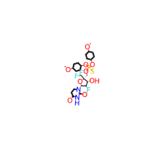 COc1ccc(OP(=S)(OC[C@@]2(C(F)F)O[C@@H](n3ccc(=O)[nH]c3=O)[C@H](F)[C@H]2O)Oc2ccc(OC)cc2)cc1